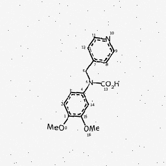 COc1ccc(N(Cc2ccncc2)C(=O)O)cc1OC